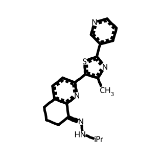 Cc1nc(-c2cccnc2)sc1-c1ccc2c(n1)/C(=N/NC(C)C)CCC2